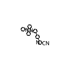 N#Cc1ccnc(-c2ccc(-c3cccc(N4c5ccccc5N(c5ccccc5)c5ccccc54)c3)cc2)c1